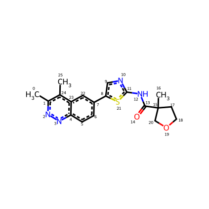 Cc1nnc2ccc(-c3cnc(NC(=O)C4(C)CCOC4)s3)cc2c1C